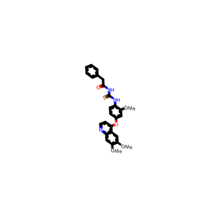 COc1cc(Oc2ccnc3cc(OC)c(OC)cc23)ccc1NC(=S)NC(=O)Cc1ccccc1